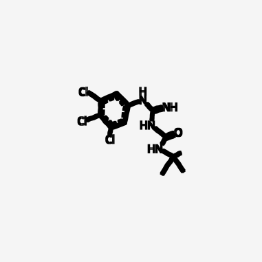 CC(C)(C)NC(=O)NC(=N)Nc1cc(Cl)c(Cl)c(Cl)c1